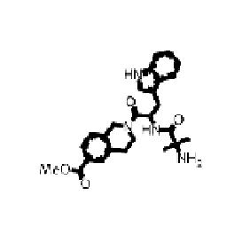 COC(=O)c1ccc2c(c1)CCN(C(=O)C(Cc1c[nH]c3ccccc13)NC(=O)C(C)(C)N)C2